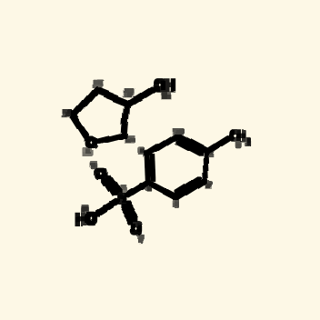 Cc1ccc(S(=O)(=O)O)cc1.OC1CCOC1